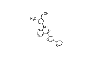 C[C@H]1C[C@H](Nc2ncncc2C(=O)c2cc(C3CCCO3)co2)C[C@@H]1CO